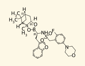 CC1(C)[C@@H]2C[C@H]3OB([C@H](Cc4coc5ccccc45)NS(=O)(=O)Cc4cc(N5CCOCC5)ccc4F)O[C@@]3(C)[C@H]1C2